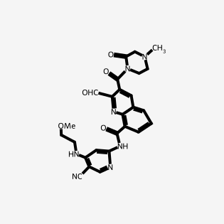 COCCNc1cc(NC(=O)c2cccc3cc(C(=O)N4CCN(C)CC4=O)c(C=O)nc23)ncc1C#N